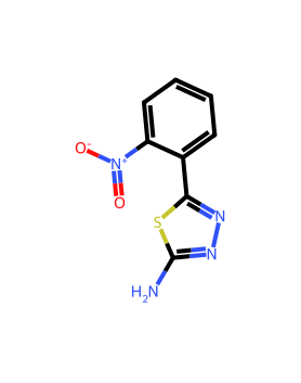 Nc1nnc(-c2ccccc2[N+](=O)[O-])s1